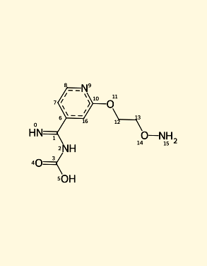 N=C(NC(=O)O)c1ccnc(OCCON)c1